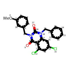 COc1cccc(Cn2c(=O)c3c(Cl)cc(Cl)cc3n(Cc3ccccc3)c2=O)c1